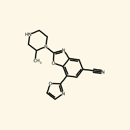 CC1CNCCN1c1nc2cc(C#N)cc(-c3ncco3)c2o1